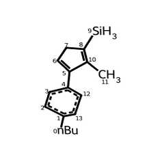 CCCCc1ccc(C2=CCC([SiH3])=C2C)cc1